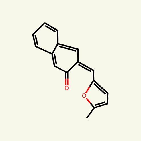 Cc1ccc(C=C2C=c3ccccc3=CC2=O)o1